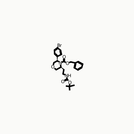 CC(C)(C)OC(=O)NCC[C@H]1COC[C@@H](c2ccc(Br)cc2)N1C(=O)OCc1ccccc1